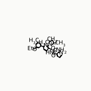 CCOc1cc(C)cc(-c2ccc(C(=O)NS(=O)(=O)c3cccnc3N)c(N3C[C@@H](C)CC3(C)C)n2)c1